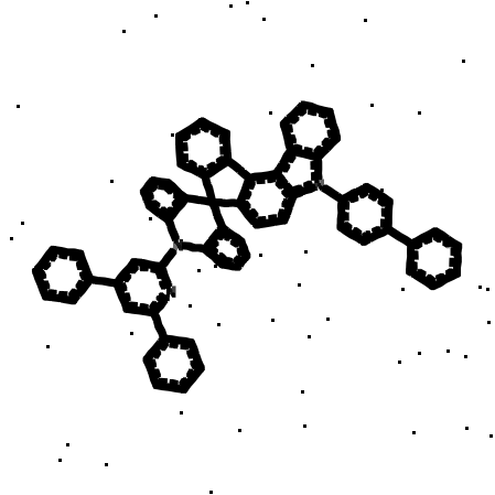 c1ccc(-c2ccc(-n3c4ccccc4c4c5c(ccc43)C3(c4ccccc4-5)c4ccccc4N(c4cc(-c5ccccc5)cc(-c5ccccc5)n4)c4ccccc43)cc2)cc1